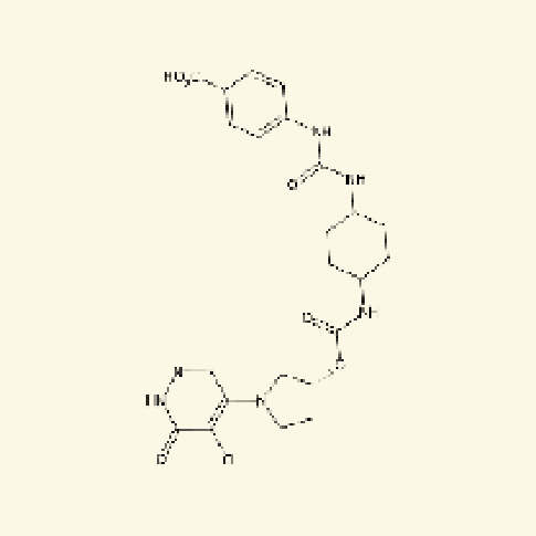 O=C(Nc1ccc(C(=O)O)cc1)NC1CCC(NC(=O)O[C@@H]2CCN(c3cn[nH]c(=O)c3Cl)C2)CC1